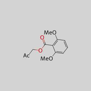 COc1cccc(OC)c1C(=O)OCC(C)=O